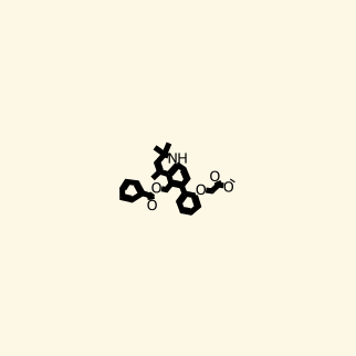 COC(=O)COc1ccccc1-c1ccc2c(c1COC(=O)c1ccccc1)C(C)=CC(C)(C)N2